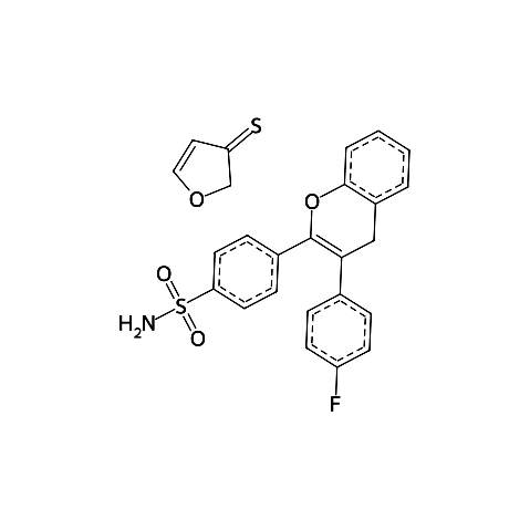 NS(=O)(=O)c1ccc(C2=C(c3ccc(F)cc3)Cc3ccccc3O2)cc1.S=C1C=COC1